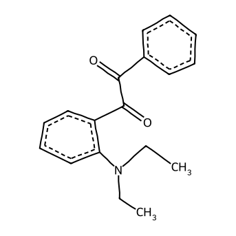 CCN(CC)c1ccccc1C(=O)C(=O)c1ccccc1